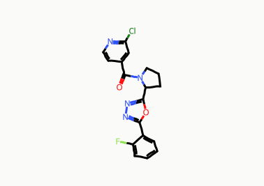 O=C(c1ccnc(Cl)c1)N1CCCC1c1nnc(-c2ccccc2F)o1